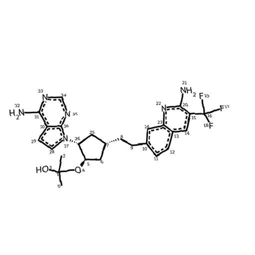 CC(C)(O)O[C@@H]1C[C@@H](CCc2ccc3cc(C(F)(F)F)c(N)nc3c2)C[C@H]1n1ccc2c(N)ncnc21